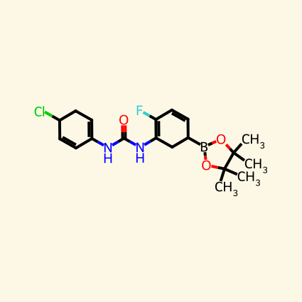 CC1(C)OB(C2C=CC(F)=C(NC(=O)NC3=CCC(Cl)C=C3)C2)OC1(C)C